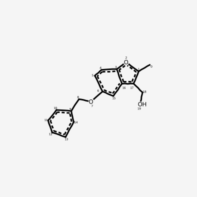 Cc1oc2ccc(OCc3ccccc3)cc2c1CO